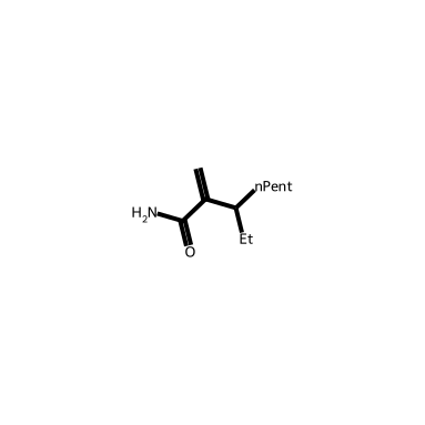 C=C(C(N)=O)C(CC)CCCCC